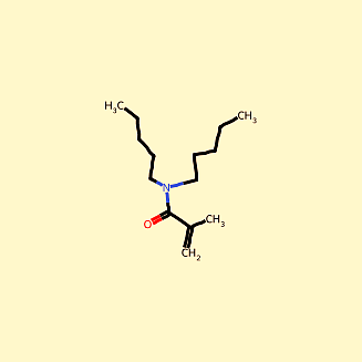 C=C(C)C(=O)N(CCCCC)CCCCC